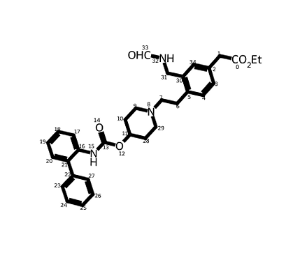 CCOC(=O)Cc1ccc(CCN2CCC(OC(=O)Nc3ccccc3-c3ccccc3)CC2)c(CNC=O)c1